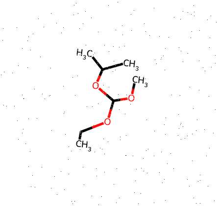 CCOC(OC)OC(C)C